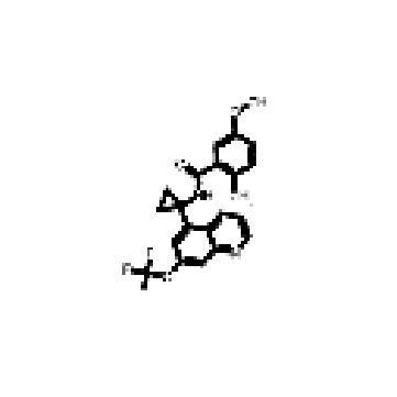 COc1ccc(C)c(C(=O)NC2(c3cc(OC(F)(F)F)cc4ncccc34)CC2)c1